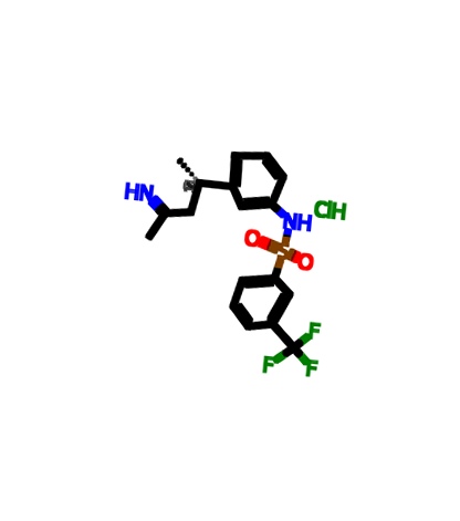 CC(=N)C[C@H](C)c1cccc(NS(=O)(=O)c2cccc(C(F)(F)F)c2)c1.Cl